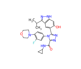 CC(C)c1n[nH]c2cc(O)c(-c3nnc(C(=O)NC4CC4)n3-c3ccc(N4CCOCC4)c(F)c3)cc12